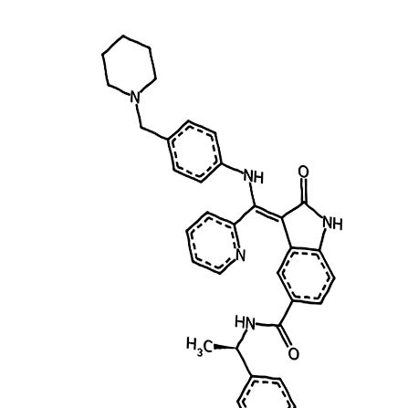 C[C@@H](NC(=O)c1ccc2c(c1)/C(=C(/Nc1ccc(CN3CCCCC3)cc1)c1ccccn1)C(=O)N2)c1ccccc1